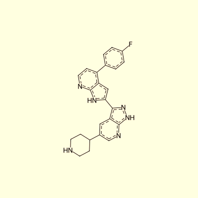 Fc1ccc(-c2ccnc3[nH]c(-c4n[nH]c5ncc(C6CCNCC6)cc45)cc23)cc1